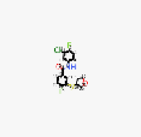 O=C(Nc1ccc(F)c(Cl)c1)c1ccc(F)c(SC2CCOC2)c1